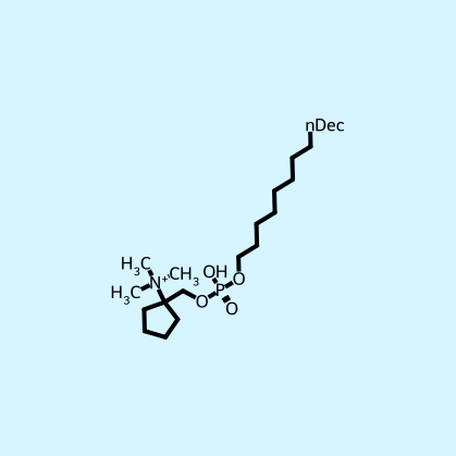 CCCCCCCCCCCCCCCCCCOP(=O)(O)OCC1([N+](C)(C)C)CCCC1